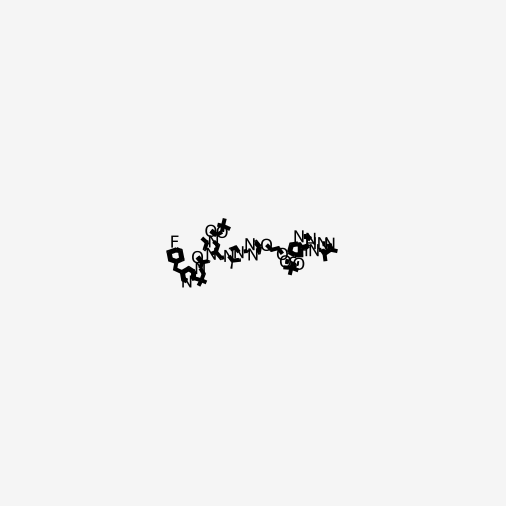 Cc1n[nH]c(Nc2ncnc3cc(OCCOc4cnc(N5CCN(CC6CN(C(=O)OC(C)(C)C)C(C)CN6CC(=O)N6CC(C)(C)c7ncc(Cc8ccc(F)cc8)cc76)[C@H](C)C5)nc4)c(S(=O)(=O)C(C)(C)C)cc23)c1C